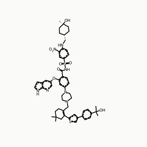 CC1(C)CCC(CN2CCN(c3ccc(C(=O)NS(=O)(=O)c4ccc(NC[C@H]5CC[C@](C)(O)CC5)c([N+](=O)[O-])c4)c(Oc4cnc5[nH]ccc5c4)c3)CC2)=C(c2cc(-c3ccc(C(C)(C)O)cc3)cs2)C1